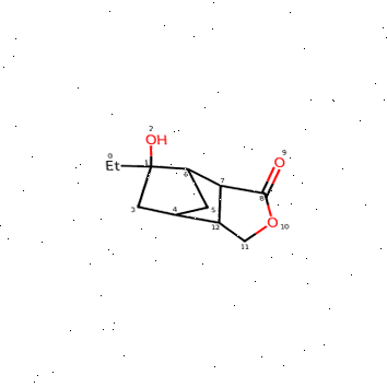 CCC1(O)CC2CC1C1C(=O)OCC21